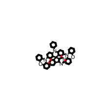 c1ccc(N2c3ccc(N4c5ccccc5Oc5ccccc54)cc3C3(c4ccccc4-c4ncncc43)c3cc(N4c5ccccc5Oc5ccccc54)ccc32)cc1